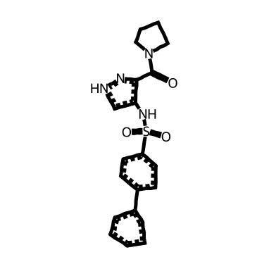 O=C(c1n[nH]cc1NS(=O)(=O)c1ccc(-c2ccccc2)cc1)N1CCCC1